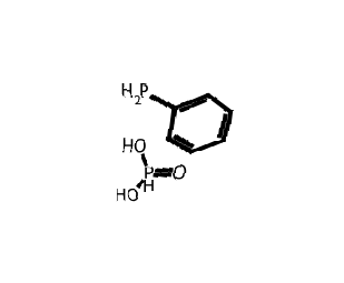 O=[PH](O)O.Pc1ccccc1